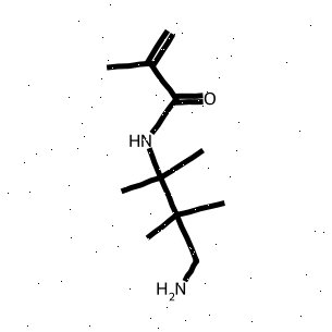 C=C(C)C(=O)NC(C)(C)C(C)(C)CN